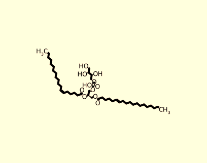 CCCCCCCCCCCCC=CCCCCC(=O)OC[C@H](COP(=O)(O)OC[C@@H](O)[C@H](O)CO)OC(=O)CCCC/C=C\CCCCCCCCCCCC